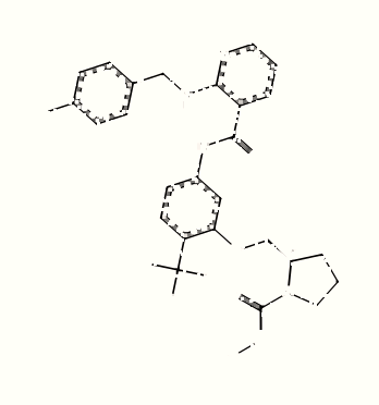 CC(C)(C)OC(=O)N1CCC[C@@H]1COc1cc(NC(=O)c2cccnc2NCc2ccc(F)cc2)ccc1C(F)(F)C(F)(F)F